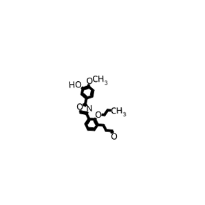 CCCOc1c(CCC=O)cccc1-c1coc(-c2ccc(OC)c(O)c2)n1